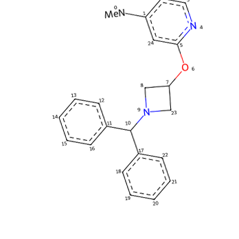 CNc1ccnc(OC2CN(C(c3ccccc3)c3ccccc3)C2)c1